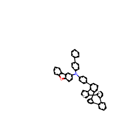 c1ccc(-c2ccc(N(c3ccc(-c4cccc5c4-c4ccccc4C54c5ccccc5-c5ccccc5-c5ccccc54)cc3)c3ccc4oc5ccccc5c4c3)cc2)cc1